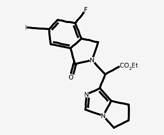 CCOC(=O)C(c1ncn2c1CCC2)N1Cc2c(F)cc(I)cc2C1=O